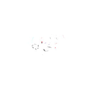 CCC1=CC(N(C(=O)c2ccc(C)c(F)c2F)C2CCC(O)CC2)=C(C(=O)O)C1